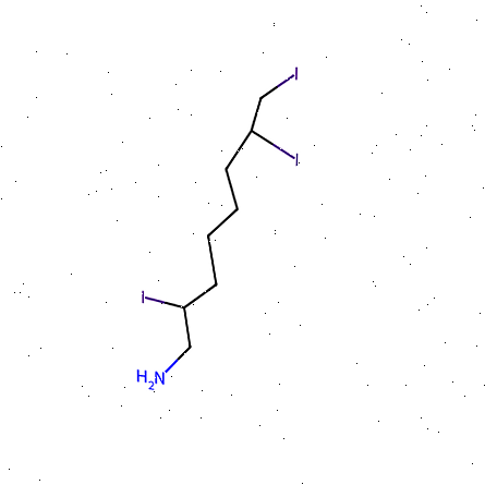 NCC(I)CCCCC(I)CI